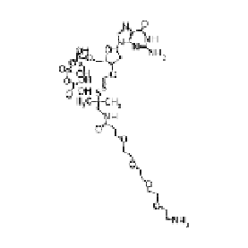 CC(C)(CNC(=O)CCOCCOCCOCCOCCN)SSCO[C@@H]1C[C@H](n2cnc3c(=O)[nH]c(N)nc32)O[C@@H]1COP(=O)(O)OP(=O)(O)OP(=O)(O)O